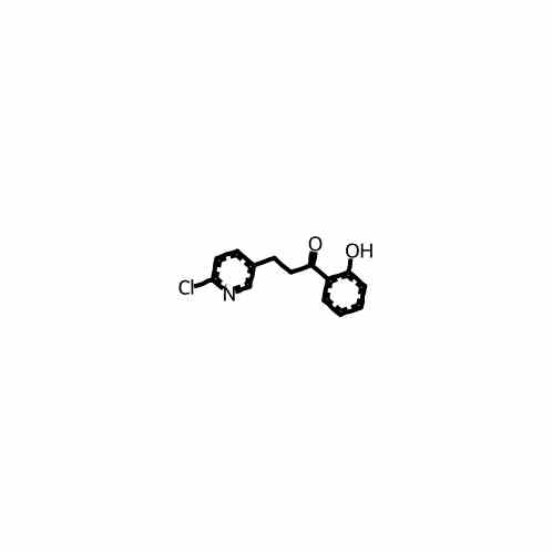 O=C(CCc1ccc(Cl)nc1)c1ccccc1O